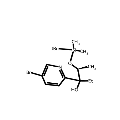 CCC(O)(c1ccc(Br)cn1)[C@H](C)O[Si](C)(C)C(C)(C)C